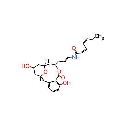 CC/C=C\C=C/C(=O)N/C=C/C[C@H]1C[C@H]2C[C@H](O)C[C@H](Cc3cccc(O)c3C(=O)O1)O2